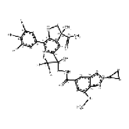 COc1cc(C(=O)NCC(O)(c2cc3c(c(-c4cc(F)c(F)c(F)c4)n2)OC[C@]3(C)C(N)=O)C(F)(F)F)cc2cn(C3CC3)nc12